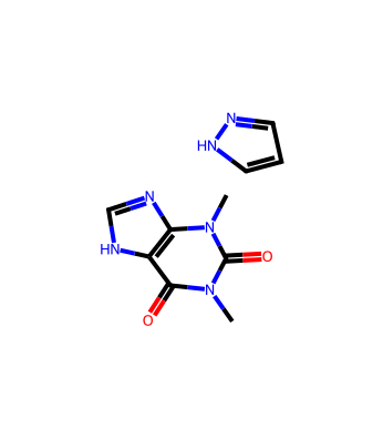 Cn1c(=O)c2[nH]cnc2n(C)c1=O.c1cn[nH]c1